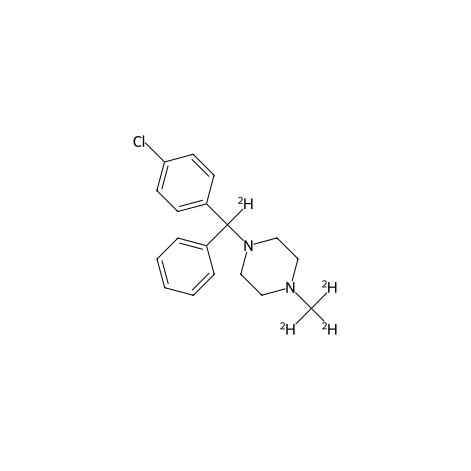 [2H]C([2H])([2H])N1CCN(C([2H])(c2ccccc2)c2ccc(Cl)cc2)CC1